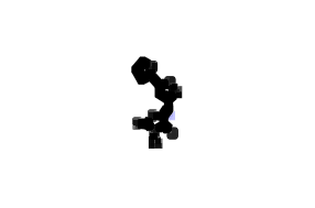 CCN1C(=O)/C(=C/c2cc(-c3ccco3)on2)SC1=S